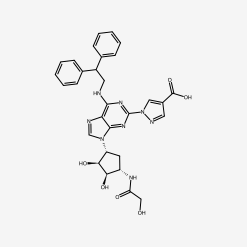 O=C(CO)N[C@H]1C[C@@H](n2cnc3c(NCC(c4ccccc4)c4ccccc4)nc(-n4cc(C(=O)O)cn4)nc32)[C@H](O)[C@@H]1O